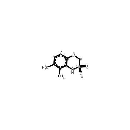 Cc1cnc2c(c1C)NS(=O)(=O)CO2